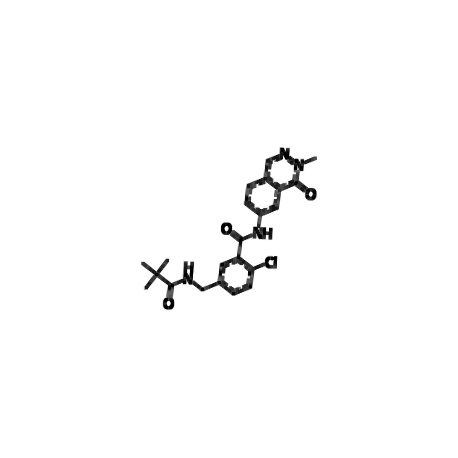 Cn1ncc2ccc(NC(=O)c3cc(CNC(=O)C(C)(C)C)ccc3Cl)cc2c1=O